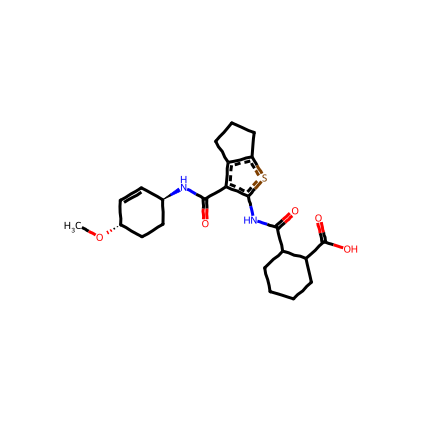 CO[C@@H]1C=C[C@@H](NC(=O)c2c(NC(=O)C3CCCCC3C(=O)O)sc3c2CCC3)CC1